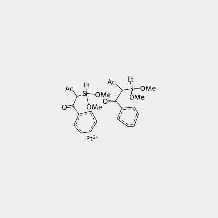 CC[Si](OC)(OC)C(C(C)=O)C(=O)c1ccccc1.CC[Si](OC)(OC)C(C(C)=O)C(=O)c1ccccc1.[Pt+2]